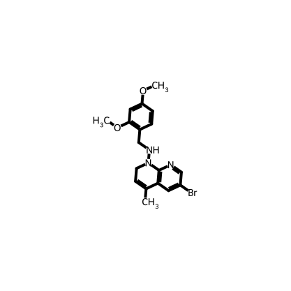 COc1ccc(CNN2CC=C(C)c3cc(Br)cnc32)c(OC)c1